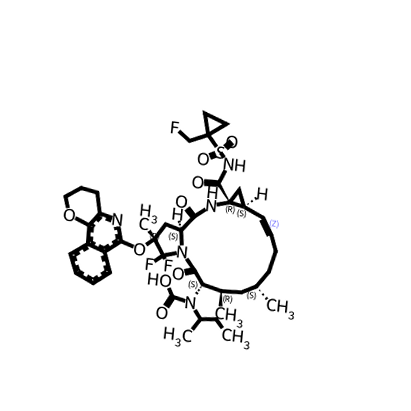 CCC(C)N(C(=O)O)[C@@H]1C(=O)N2[C@@H](C[C@@](C)(Oc3nc4c(c5ccccc35)OCCC4)C2(F)F)C(=O)N[C@]2(C(=O)NS(=O)(=O)C3(CF)CC3)C[C@H]2/C=C\CC[C@H](C)C[C@H]1C